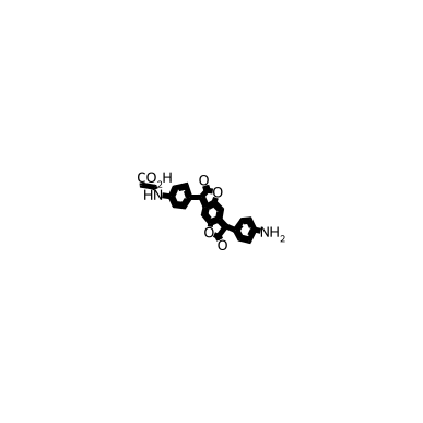 Nc1ccc(C2=c3cc4c(cc3OC2=O)=C(c2ccc(NCCC(=O)O)cc2)C(=O)O4)cc1